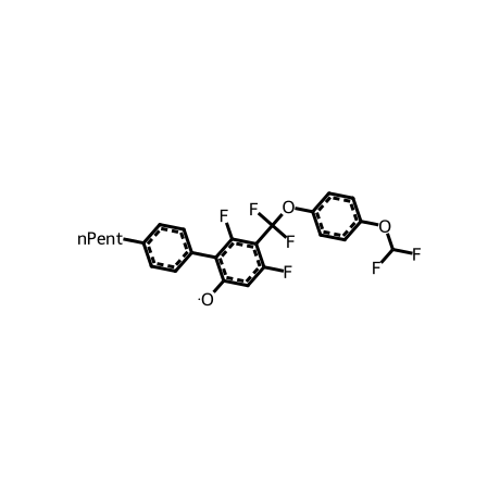 CCCCCc1ccc(-c2c([O])cc(F)c(C(F)(F)Oc3ccc(OC(F)F)cc3)c2F)cc1